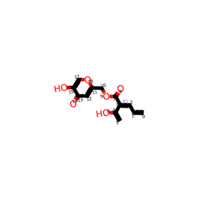 C=C/C=C(\C(=C)O)C(=O)OCc1cc(=O)c(O)co1